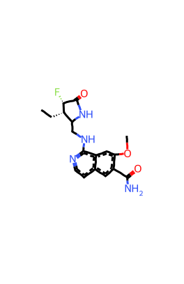 CC[C@H]1C(CNc2nccc3cc(C(N)=O)c(OC)cc23)NC(=O)[C@H]1F